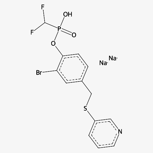 O=P(O)(Oc1ccc(CSc2cccnc2)cc1Br)C(F)F.[Na].[Na]